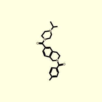 Cc1ccc(C(=O)N2CCc3cc(C(=O)N4CCN(C(C)C)CC4)ccc3C2)cc1